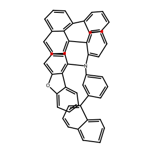 c1ccc(-c2cccc3cccc(-c4ccccc4N(c4cccc(-c5cccc6ccccc56)c4)c4cccc5oc6ccccc6c45)c23)cc1